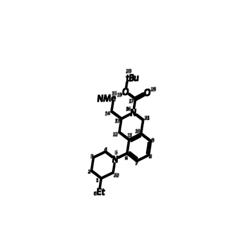 CCC1CCCN(c2cccc3c2CC(CNC)N(C(=O)OC(C)(C)C)C3)C1